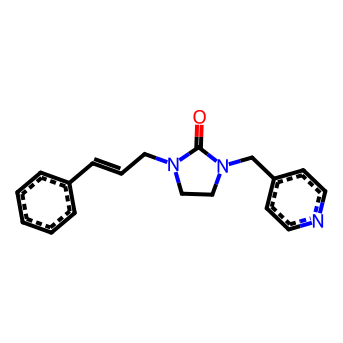 O=C1N(CC=Cc2ccccc2)CCN1Cc1ccncc1